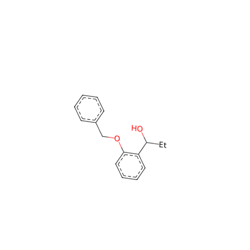 CCC(O)c1ccccc1OCc1ccccc1